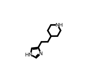 c1nc(CCC2CCNCC2)c[nH]1